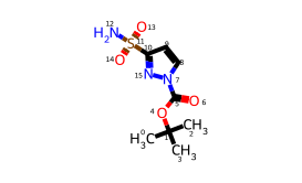 CC(C)(C)OC(=O)n1ccc(S(N)(=O)=O)n1